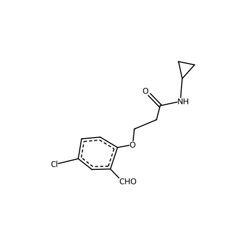 O=Cc1cc(Cl)ccc1OCCC(=O)NC1CC1